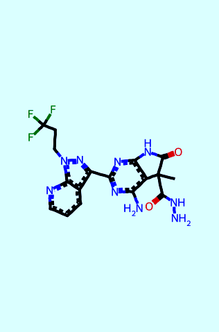 CC1(C(=O)NN)C(=O)Nc2nc(-c3nn(CCC(F)(F)F)c4ncccc34)nc(N)c21